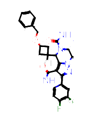 CC1(C2c3c(C(N)=O)c(-c4ccc(F)c(Cl)c4)nn3CCN2C(N)=O)CC(OCc2ccccc2)C1